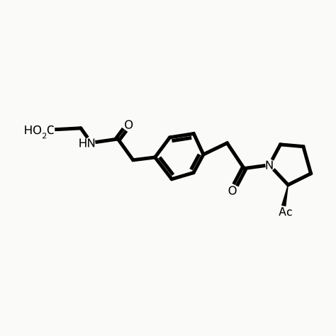 CC(=O)[C@@H]1CCCN1C(=O)Cc1ccc(CC(=O)NCC(=O)O)cc1